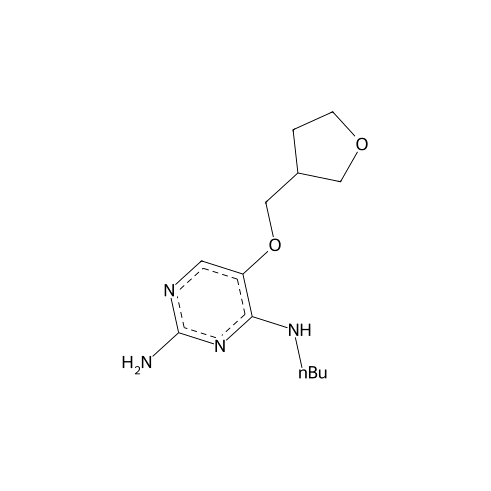 CCCCNc1nc(N)ncc1OCC1CCOC1